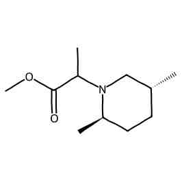 COC(=O)C(C)N1C[C@H](C)CC[C@H]1C